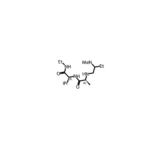 CCNC(=O)[C@@H](NC(=O)[C@H](C)NCC(CC)NC)C(C)C